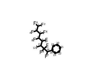 FC(F)C(F)C(F)C(F)C(F)C(I)C(F)(F)C(F)c1ccccc1